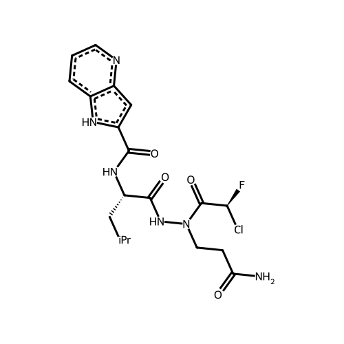 CC(C)C[C@H](NC(=O)c1cc2ncccc2[nH]1)C(=O)NN(CCC(N)=O)C(=O)[C@@H](F)Cl